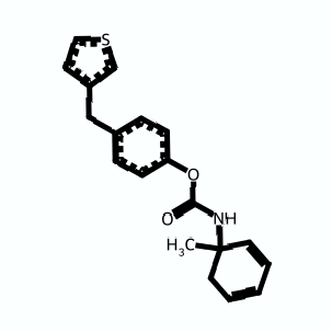 CC1(NC(=O)Oc2ccc(Cc3ccsc3)cc2)C=CC=CC1